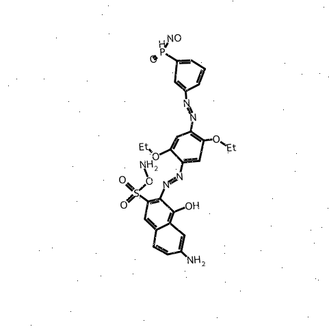 CCOc1cc(N=Nc2c(S(=O)(=O)ON)cc3ccc(N)cc3c2O)c(OCC)cc1N=Nc1cccc([PH](=O)N=O)c1